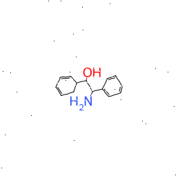 NC(c1ccccc1)C(O)C1C=CC=CC1